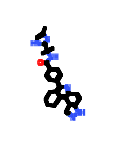 Cc1c[nH]c(C(C)(C)NC(=O)c2ccc(-c3nc4ccc5[nH]ncc5c4c4c3CCCC4)cc2)n1